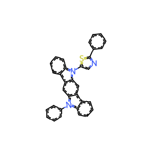 c1ccc(-c2ncc(-n3c4ccccc4c4cc5c(cc43)c3ccccc3n5-c3ccccc3)s2)cc1